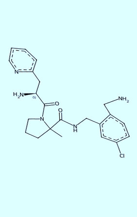 CC1(C(=O)NCc2cc(Cl)ccc2CN)CCCN1C(=O)[C@@H](N)Cc1ccccn1